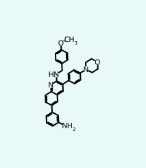 COc1ccc(CNc2nc3ccc(-c4cccc(N)c4)cc3cc2-c2ccc(N3CCOCC3)cc2)cc1